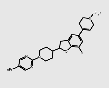 CCCc1cnc(N2CCC(C3Cc4cc(C5=CCN(C(=O)O)CC5)cc(F)c4O3)CC2)nc1